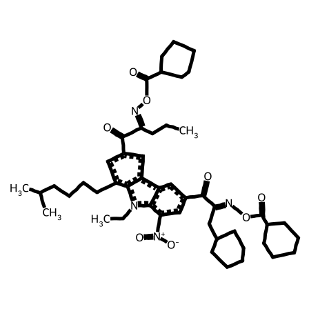 CCC/C(=N\OC(=O)C1CCCCC1)C(=O)c1cc(CCCCC(C)C)c2c(c1)c1cc(C(=O)/C(CC3CCCCC3)=N/OC(=O)C3CCCCC3)cc([N+](=O)[O-])c1n2CC